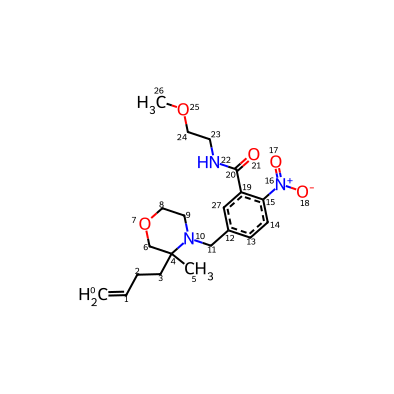 C=CCCC1(C)COCCN1Cc1ccc([N+](=O)[O-])c(C(=O)NCCOC)c1